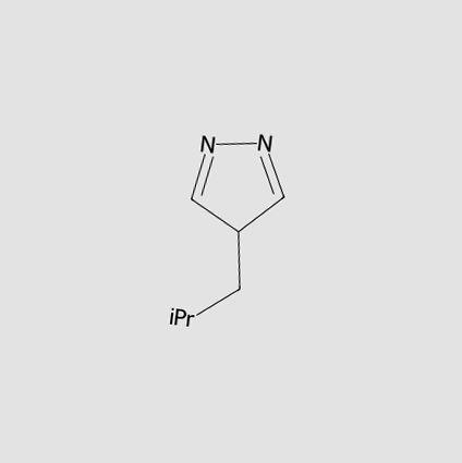 CC(C)CC1C=NN=C1